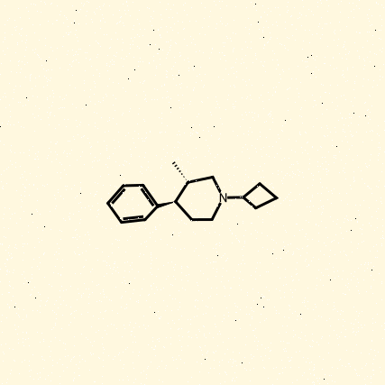 C[C@@H]1CN(C2CCC2)CC[C@H]1c1ccccc1